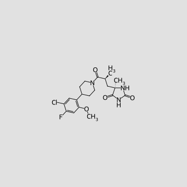 COc1cc(F)c(Cl)cc1C1CCN(C(=O)[C@@H](C)C[C@@]2(C)NC(=O)NC2=O)CC1